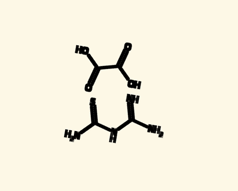 N=C(N)NC(N)=S.O=C(O)C(=O)O